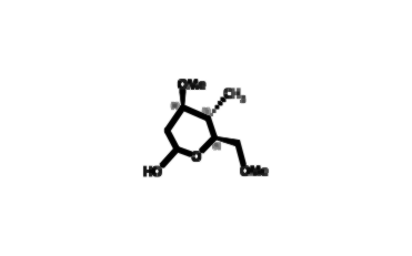 COC[C@H]1OC(O)C[C@@H](OC)[C@@H]1C